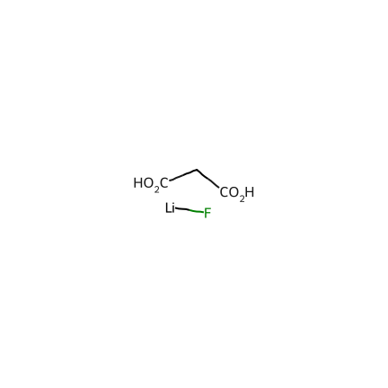 O=C(O)CC(=O)O.[Li][F]